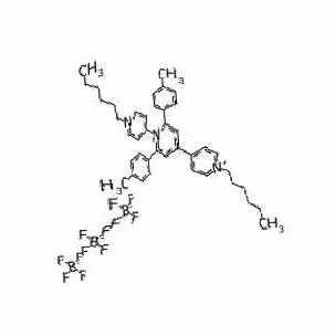 CCCCCC[n+]1ccc(-c2cc(-c3ccc(C)cc3)[n+](-c3cc[n+](CCCCCC)cc3)c(-c3ccc(C)cc3)c2)cc1.F[B-](F)(F)F.F[B-](F)(F)F.F[B-](F)(F)F